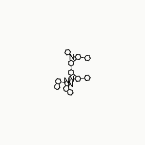 c1ccc(-c2ccc3c(c2)c2cc(-c4ccc5c(c4)c4cc(-c6ccccc6)ccc4n5-c4nc(-c5cccc6ccccc56)c5ccc6ccccc6c5n4)ccc2n3-c2ccccc2)cc1